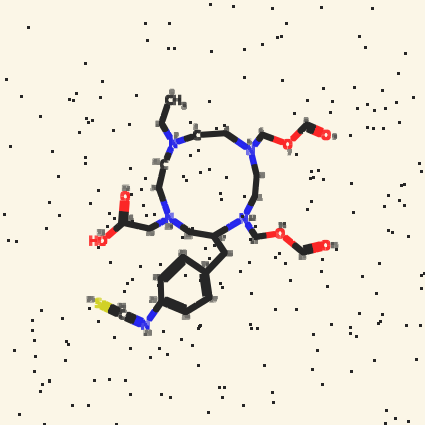 CCN1CCN(COC=O)CCN(COC=O)C(Cc2ccc(N=C=S)cc2)CN(CC(=O)O)CC1